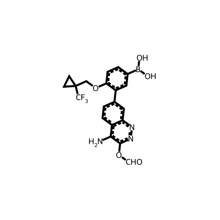 Nc1c(OC=O)nnc2cc(-c3cc(B(O)O)ccc3OCC3(C(F)(F)F)CC3)ccc12